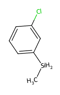 C[SiH2]c1cccc(Cl)c1